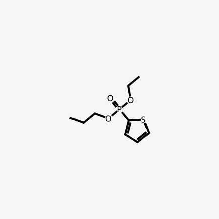 CCCOP(=O)(OCC)c1cccs1